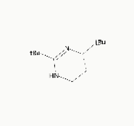 CC(C)(C)C1=NC(C(C)(C)C)CCN1